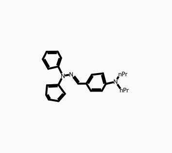 CCCN(CCC)c1ccc(C=NN(c2ccccc2)c2ccccc2)cc1